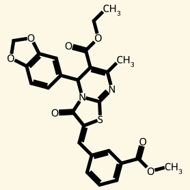 CCOC(=O)C1=C(C)N=c2s/c(=C\c3cccc(C(=O)OC)c3)c(=O)n2C1c1ccc2c(c1)OCO2